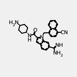 N#Cc1ccc(Cn2c(C(=O)N[C@H]3CC[C@H](N)CC3)cc3ccc(C(=N)N)cc32)c2ccccc12